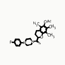 CC(=O)Oc1c(C)c(C)c2c(c1C)CCC(C(=S)N1CCN(c3ccc(F)cc3)CC1)O2